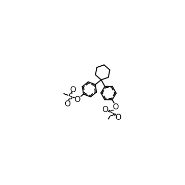 CS(=O)(=O)Oc1ccc(C2(c3ccc(OS(C)(=O)=O)cc3)CCCCC2)cc1